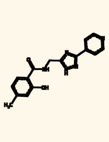 Cc1ccc(C(=O)NCc2nc(-c3ccncc3)n[nH]2)c(O)c1